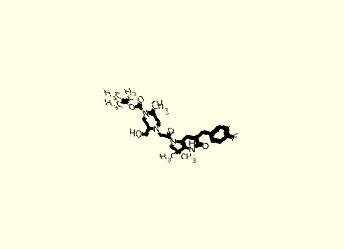 CC1CN(CC(=O)N2CC(C)(C)c3[nH]c(=O)c(Cc4ccc(F)cc4)cc32)C(CO)CN1C(=O)OC(C)(C)C